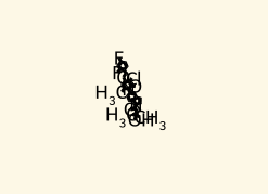 Cc1cc(OCc2ccc(F)cc2F)c(Cl)c(=O)n1-c1ccc2c(ccn2C(=O)CC(C)(C)O)c1